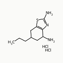 CCCC1Cc2sc(N)nc2C(N)C1.Cl.Cl